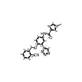 Cn1cnc(C(=O)Nc2ccc(OCc3ccccc3C#N)c(-n3cnnn3)c2)c1